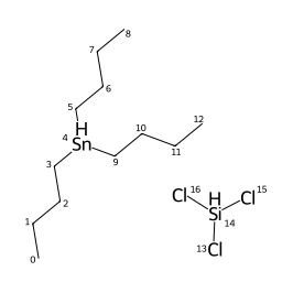 CCC[CH2][SnH]([CH2]CCC)[CH2]CCC.Cl[SiH](Cl)Cl